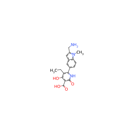 CCc1c(-c2ccc3c(c2)cc(CN)n3C)[nH]c(=O)c(C(=O)O)c1O